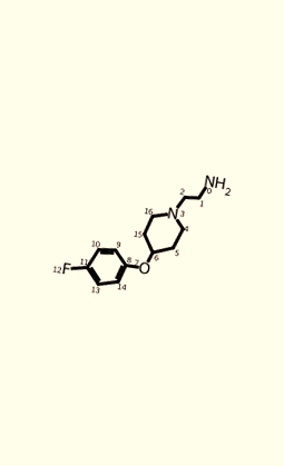 NCCN1CCC(Oc2ccc(F)cc2)CC1